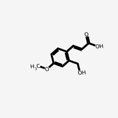 COc1ccc(/C=C/C(=O)O)c(CO)c1